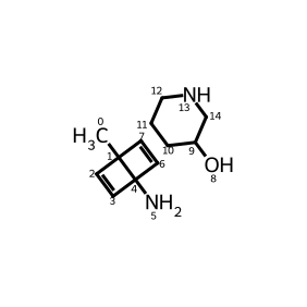 CC12C=CC1(N)C=C2.OC1CCCNC1